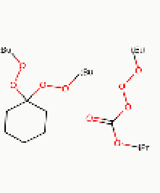 CC(C)(C)OOC1(OOC(C)(C)C)CCCCC1.CC(C)OC(=O)OOOC(C)(C)C